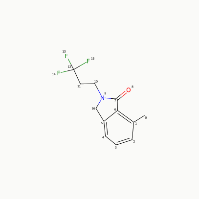 Cc1cccc2c1C(=O)N(CCC(F)(F)F)C2